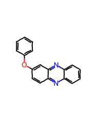 c1ccc(Oc2ccc3nc4ccccc4nc3c2)cc1